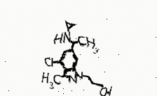 Cc1nn(CCCOI)c2cc(C(C)NC3CC3)cc(Cl)c12